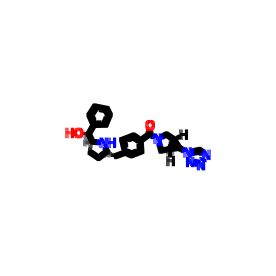 O=C(c1ccc(C[C@@H]2CC[C@H]([C@H](O)c3ccccc3)N2)cc1)N1C[C@@H]2C(n3cnnn3)[C@@H]2C1